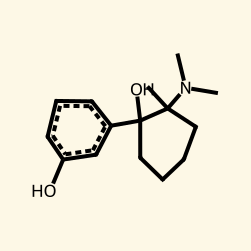 CN(C)C1(C)CCCCC1(O)c1cccc(O)c1